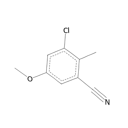 COc1cc(Cl)c(C)c(C#N)c1